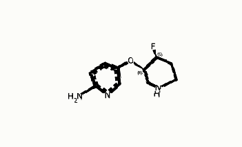 Nc1ccc(O[C@@H]2CNCC[C@@H]2F)cn1